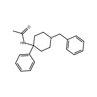 CC(=O)NC1(c2ccccc2)CCN(Cc2ccccc2)CC1